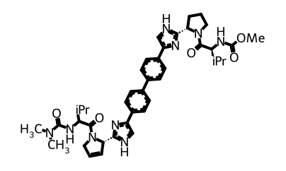 COC(=O)N[C@H](C(=O)N1CCC[C@H]1c1nc(-c2ccc(-c3ccc(-c4c[nH]c([C@@H]5C=CCN5C(=O)C(NC(=O)N(C)C)C(C)C)n4)cc3)cc2)c[nH]1)C(C)C